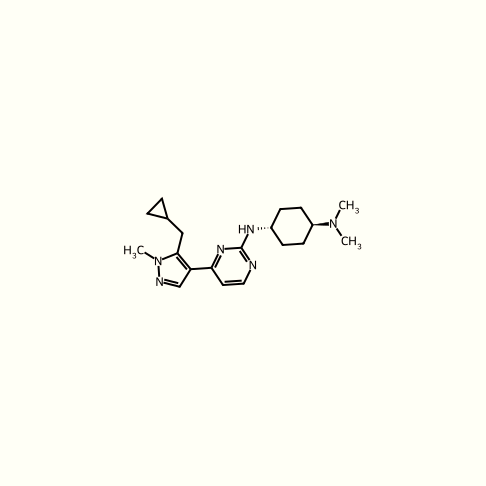 Cn1ncc(-c2ccnc(N[C@H]3CC[C@H](N(C)C)CC3)n2)c1CC1CC1